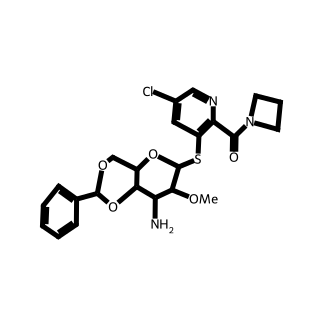 COC1C(Sc2cc(Cl)cnc2C(=O)N2CCC2)OC2COC(c3ccccc3)OC2C1N